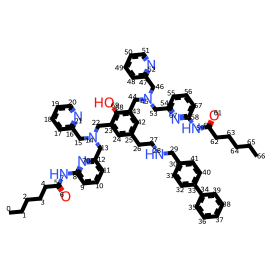 CCCCCC(=O)Nc1cccc(CN(Cc2ccccn2)Cc2cc(CCNCc3ccc(-c4ccccc4)cc3)cc(CN(Cc3ccccn3)Cc3cccc(NC(=O)CCCCC)n3)c2O)n1